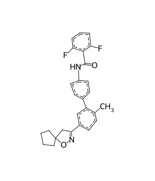 Cc1ccc(C2=NOC3(CCCC3)C2)cc1-c1ccc(NC(=O)c2c(F)cccc2F)cc1